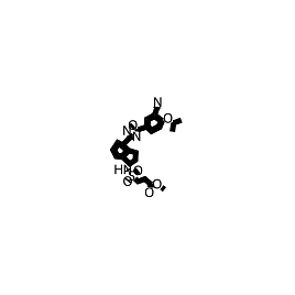 COC(=O)CCS(=O)(=O)N[C@@H]1CCc2c(-c3noc(-c4ccc(OC(C)C)c(C#N)c4)n3)cccc21